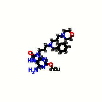 CCCCOc1nc(N)c2[nH]c(=O)n(CCCN(CCCN3CCOCC3)Cc3ccccc3)c2n1